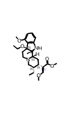 CCO[C@]12CCN3C[C@@H](CC)[C@@H](/C(=C\OC)C(=O)OC)C[C@H]3[C@@]1(C)Nc1cccc(OC)c12